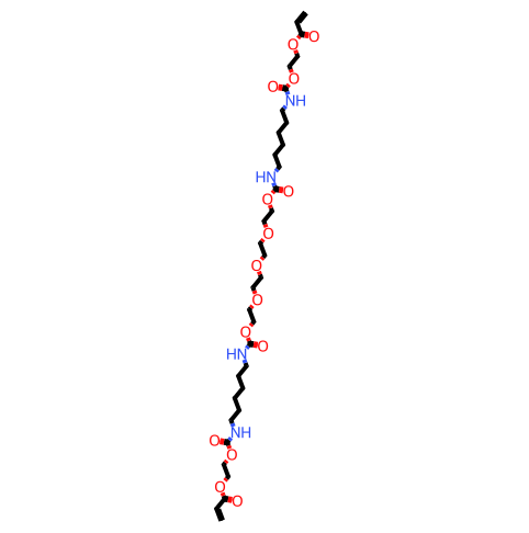 C=CC(=O)OCCOC(=O)NCCCCCCNC(=O)OCCOCCOCCOCCOC(=O)NCCCCCCNC(=O)OCCOC(=O)C=C